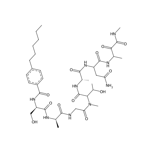 CCCCCCc1ccc(C(=O)N[C@H](CO)C(=O)N[C@H](C)C(=O)NCC(=O)N(C)C(C(=O)N[C@@H](C)C(=O)NC(CC(N)=O)C(=O)NC(C)C(=O)C(=O)NC)C(C)O)cc1